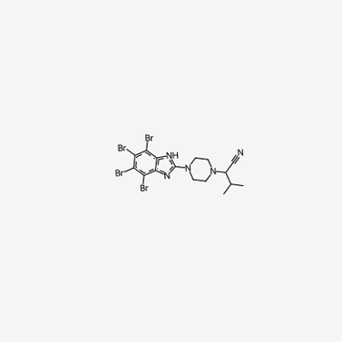 CC(C)C(C#N)N1CCN(c2nc3c(Br)c(Br)c(Br)c(Br)c3[nH]2)CC1